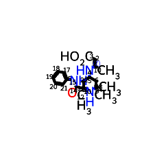 C/C(=C/C(=O)O)NC1CC(C)(C)NC(C)(C(=O)Nc2ccccc2)C1